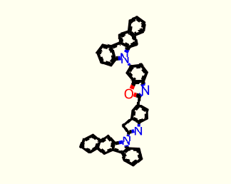 c1ccc2cc3c(cc2c1)c1ccccc1n3C1=Nc2ccc(-c3nc4ccc(-n5c6ccccc6c6cc7ccccc7cc65)cc4o3)cc2C1